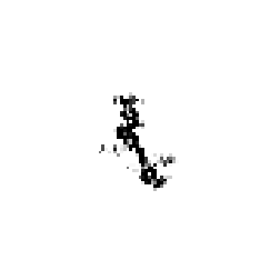 COc1cc([S+](C)[O-])ccc1NCC#Cc1cc2c(NC3CCN(C(=O)C(C)C)CC3)cccc2n1CC(F)(F)F